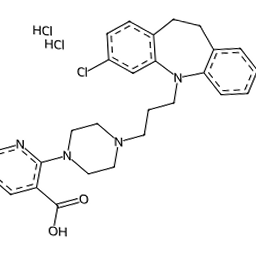 Cl.Cl.O=C(O)c1cccnc1N1CCN(CCCN2c3ccccc3CCc3ccc(Cl)cc32)CC1